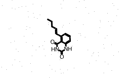 CCCC=Cc1cccc2[nH]c(=O)[nH]c(=O)c12